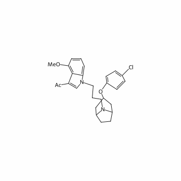 COc1cccc2c1c(C(C)=O)cn2CCCN1C2CCC1CC(Oc1ccc(Cl)cc1)C2